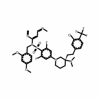 C=N/C(=C\C=N/C)N(Cc1ccc(OC)cc1OC)S(=O)(=O)c1c(F)cc(N2CCC[C@@](CCc3ccc(C(F)(F)F)c(Cl)c3)(N(C)C)C2)cc1F